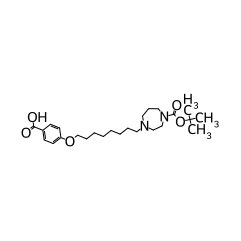 CC(C)(C)OC(=O)N1CCCN(CCCCCCCCOc2ccc(C(=O)O)cc2)CC1